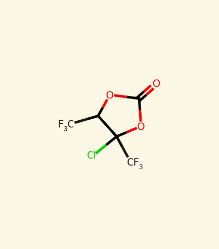 O=C1OC(C(F)(F)F)C(Cl)(C(F)(F)F)O1